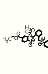 CCOC(=O)c1ccc([N+](=O)[O-])c(N(Cc2ccccc2CS(=O)(=O)c2ccccc2)C(C)=O)c1